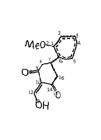 COc1ccccc1C1CC(=O)C(=CO)C(=O)C1